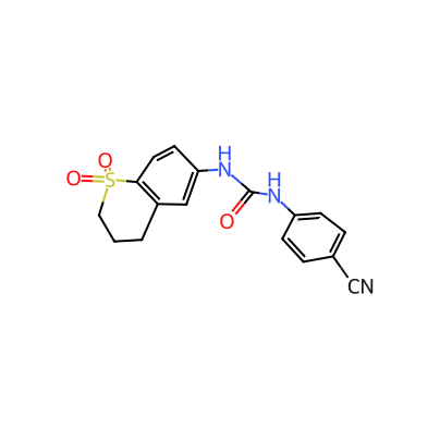 N#Cc1ccc(NC(=O)Nc2ccc3c(c2)CCCS3(=O)=O)cc1